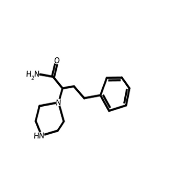 NC(=O)C(CCc1ccccc1)N1CCNCC1